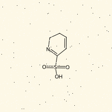 O=S(=O)(O)C1=NCCC=C1